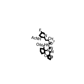 COc1cccc(OC)c1-n1c(N[S+]([O-])C(C)Cc2ncc(F)cc2NC(C)=O)nnc1-c1ccco1